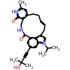 Cc1cc2c(c(=O)[nH]1)CNC(=O)c1cc(C#CC(C)(C)O)cc3c1c(cn3C(C)C)C/C=C/CC2